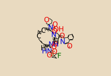 COc1cnc(O[C@@H]2C[C@H]3C(=O)N[C@]4(C(=O)NS(=O)(=O)C5(CF)CC5)C[C@H]4C=CCC[C@@H](C)C[C@@H](C)[C@H](N(C(=O)O)C4(C)CCCOC4)C(=O)N3C2)c2ccccc12